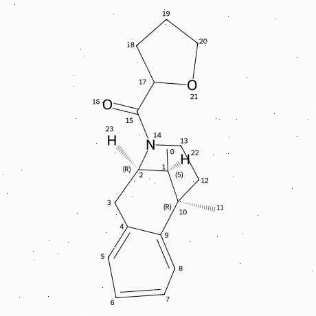 C[C@@H]1[C@H]2Cc3ccccc3[C@]1(C)CCN2C(=O)C1CCCO1